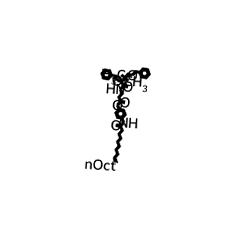 CCCCCCCCC=CCCCCCCCC(=O)Nc1ccc(OC(=O)CCNC(=O)C(OCc2ccccc2)C(C)(C)COCc2ccccc2)cc1